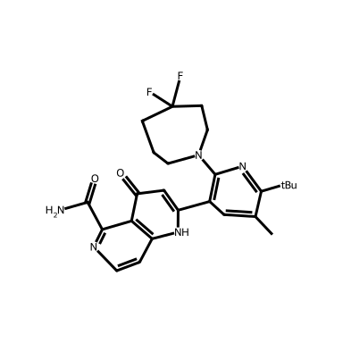 Cc1cc(-c2cc(=O)c3c(C(N)=O)nccc3[nH]2)c(N2CCCC(F)(F)CC2)nc1C(C)(C)C